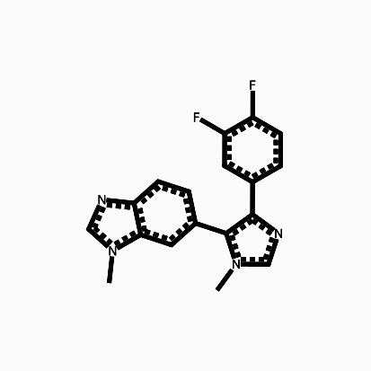 Cn1cnc(-c2ccc(F)c(F)c2)c1-c1ccc2ncn(C)c2c1